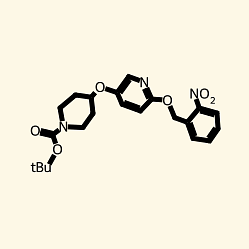 CC(C)(C)OC(=O)N1CCC(Oc2ccc(OCc3ccccc3[N+](=O)[O-])nc2)CC1